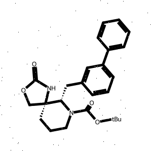 CC(C)(C)OC(=O)N1CCC[C@@]2(COC(=O)N2)[C@@H]1Cc1cccc(-c2ccccc2)c1